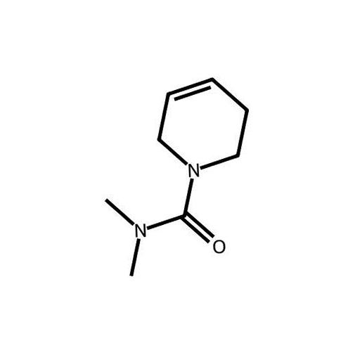 CN(C)C(=O)N1CC=CCC1